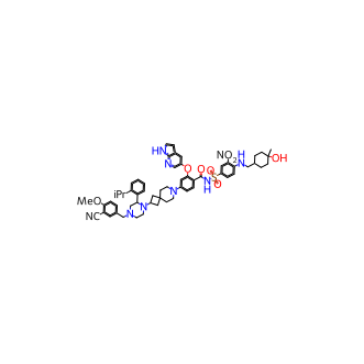 COc1ccc(CN2CCN(C3CC4(CCN(c5ccc(C(=O)NS(=O)(=O)c6ccc(NCC7CCC(C)(O)CC7)c([N+](=O)[O-])c6)c(Oc6cnc7[nH]ccc7c6)c5)CC4)C3)C(c3ccccc3C(C)C)C2)cc1C#N